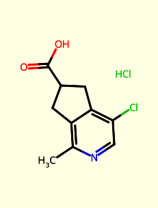 Cc1ncc(Cl)c2c1CC(C(=O)O)C2.Cl